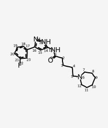 O=C(CCCCN1CCCCCC1)Nc1cc(-c2cccc(F)c2)n[nH]1